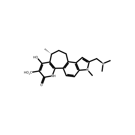 C[C@@H]1CCc2c(ccc3c2cc(CN(C)C)n3C)-c2[nH]c(=O)c(C(=O)O)c(O)c21